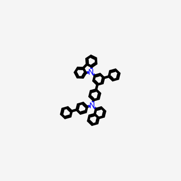 c1ccc(-c2ccc(N(c3ccc(-c4cc(-c5ccccc5)cc(-n5c6ccccc6c6ccccc65)c4)cc3)c3cccc4ccccc34)cc2)cc1